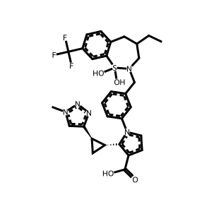 CCC1Cc2ccc(C(F)(F)F)cc2S(O)(O)N(Cc2cccc(-n3ccc(C(=O)O)c3[C@@H]3C[C@H]3c3cn(C)nn3)c2)C1